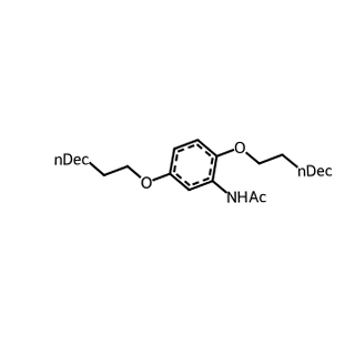 CCCCCCCCCCCCOc1ccc(OCCCCCCCCCCCC)c(NC(C)=O)c1